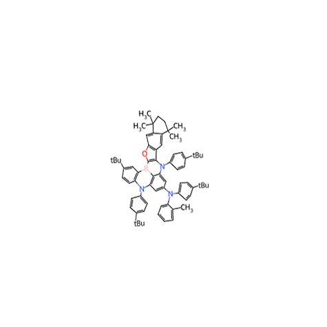 Cc1ccccc1N(c1ccc(C(C)(C)C)cc1)c1cc2c3c(c1)N(c1ccc(C(C)(C)C)cc1)c1c(oc4cc5c(cc14)C(C)(C)CCC5(C)C)B3c1cc(C(C)(C)C)ccc1N2c1ccc(C(C)(C)C)cc1